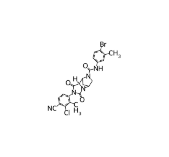 Cc1cc(NC(=O)N2CC3CC2[C@H]2C(=O)N(c4ccc(C#N)c(Cl)c4C)C(=O)N32)ccc1Br